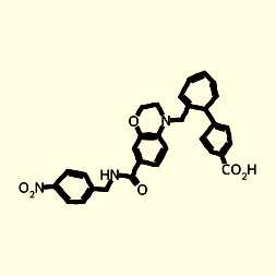 O=C(O)c1ccc(C2C=CC=CC=C2CN2CCOc3cc(C(=O)NCc4ccc([N+](=O)[O-])cc4)ccc32)cc1